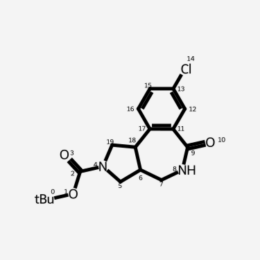 CC(C)(C)OC(=O)N1CC2CNC(=O)c3cc(Cl)ccc3C2C1